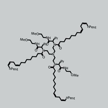 CCCCC/C=C\C/C=C\CCCCCCCC(=O)N(CCN(CCN(C(=O)CCCCCCC/C=C\C/C=C\CCCCC)C(C(=O)NCCOC)C(C)C)CCN(C(=O)CCCCCCC/C=C\C/C=C\CCCCC)C(C(=O)NCCOC)C(C)C)C(C(=O)NCCOC)C(C)C